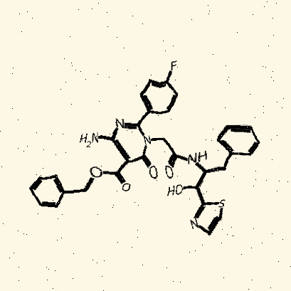 Nc1nc(-c2ccc(F)cc2)n(CC(=O)NC(Cc2ccccc2)C(O)c2nccs2)c(=O)c1C(=O)OCc1ccccc1